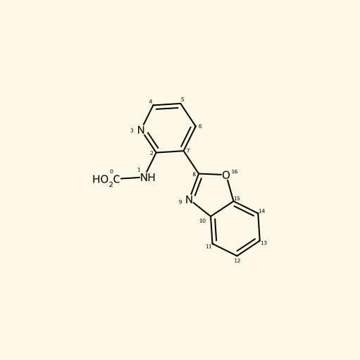 O=C(O)Nc1ncccc1-c1nc2ccccc2o1